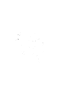 Cc1ccc(Nc2c(NS(=O)(=O)c3cn(C)nc3C(F)(F)F)ccc(F)c2F)c(F)c1